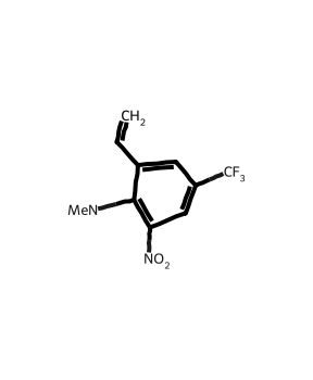 C=Cc1cc(C(F)(F)F)cc([N+](=O)[O-])c1NC